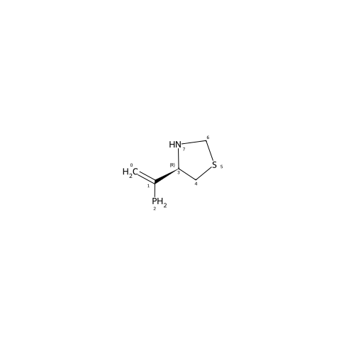 C=C(P)[C@@H]1CSCN1